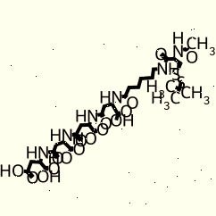 CC(=O)NC(CSSC(C)(C)C)C(=O)NCCCCCC(=O)NC(CC(=O)NC(CC(=O)NC(CC(=O)NC(CC(=O)O)C(=O)O)C(=O)O)C(=O)O)C(=O)O